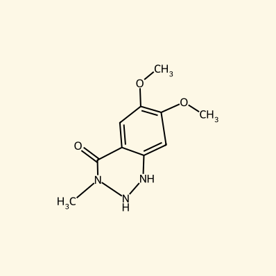 COc1cc2c(cc1OC)C(=O)N(C)NN2